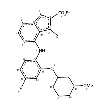 CCOC(=O)c1sc2ncnc(Nc3ccc(F)cc3OC3CCCC(OC)C3)c2c1C